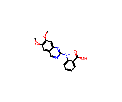 COc1cc2cnc(Nc3ccccc3C(=O)O)nc2cc1OC